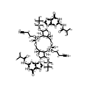 CC(C)C(=O)Nc1nc2c(ncn2[C@@H]2O[C@@H]3COP(=S)(OCCC#N)N[C@H]4C(O[Si](C)(C)C(C)(C)C)[C@H](n5cnc6c(=O)[nH]c(NC(=O)C(C)C)nc65)O[C@@H]4COP(=S)(OCCC#N)N[C@H]3C2O[Si](C)(C)C(C)(C)C)c(=O)[nH]1